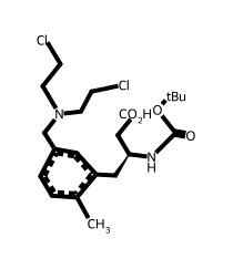 Cc1ccc(CN(CCCl)CCCl)cc1C[C@@H](CC(=O)O)NC(=O)OC(C)(C)C